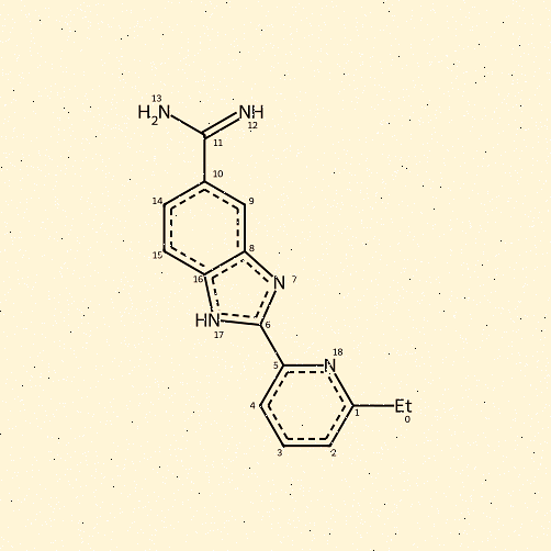 CCc1cccc(-c2nc3cc(C(=N)N)ccc3[nH]2)n1